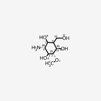 CO[C@@H]1C(O)[C@H](N)C(O)C(CO)[C@H]1O